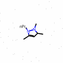 CCCN1C(C)=CC(C)N1C